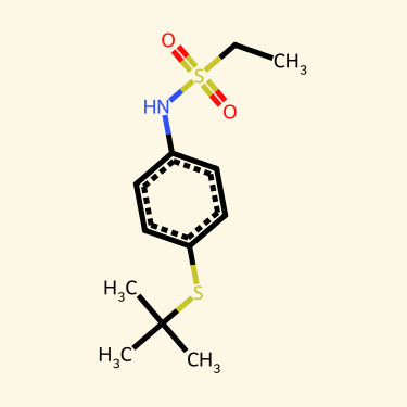 CCS(=O)(=O)Nc1ccc(SC(C)(C)C)cc1